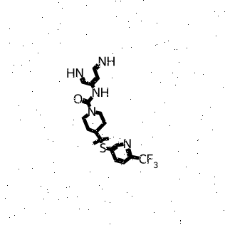 CC(C)(Sc1ccc(C(F)(F)F)nc1)C1CCN(C(=O)N/C(C=N)=C/C=N)CC1